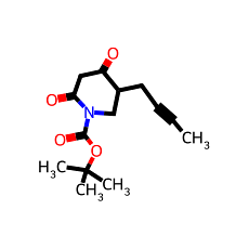 CC#CCC1CN(C(=O)OC(C)(C)C)C(=O)CC1=O